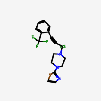 Cl.FC(F)(F)c1ccccc1C#CCN1CCN(c2nccs2)CC1